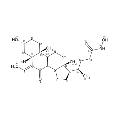 C/C=C1/C(=O)C2C3CC[C@H]([C@H](C)CCC(=O)NO)[C@@]3(C)CCC2[C@@]2(C)CC[C@@H](O)C[C@@H]12